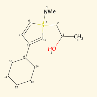 CNS1(CC(C)O)C=CC(C2CCCCC2)=C1